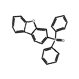 O=P(c1ccccc1)(c1ccccc1)c1ccc2c(c1)oc1ccccc12